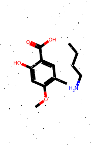 CCCCN.COc1cc(O)c(C(=O)O)cc1C